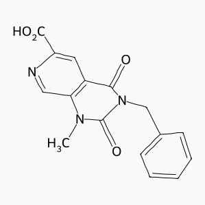 Cn1c(=O)n(Cc2ccccc2)c(=O)c2cc(C(=O)O)ncc21